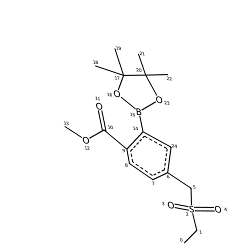 CCS(=O)(=O)Cc1ccc(C(=O)OC)c(B2OC(C)(C)C(C)(C)O2)c1